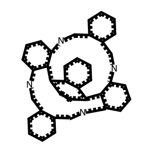 c1ccc2cnc3cccc4ncc5ccccc5cnc5cccc(ncc2c1)c5c1c2ccccc2c(c2ccccc21)c34